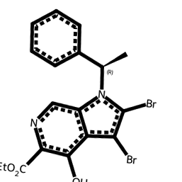 CCOC(=O)c1ncc2c(c1O)c(Br)c(Br)n2[C@H](C)c1ccccc1